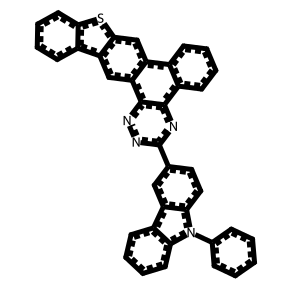 c1ccc(-n2c3ccccc3c3cc(-c4nnc5c6cc7c(cc6c6ccccc6c5n4)sc4ccccc47)ccc32)cc1